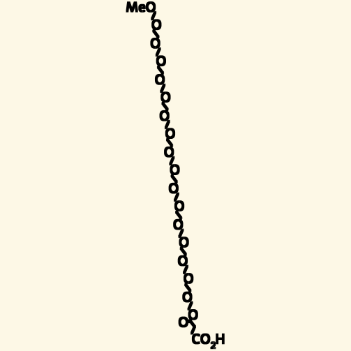 COCCOCCOCCOCCOCCOCCOCCOCCOCCOCCOCCOCCOCCOCCOCCOCCOCCOC(=O)CCC(=O)O